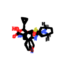 N#Cc1cc(C(=O)O)cc2sc(N3[C@@H]4CC[C@H]3CC(OCc3c(C5CCOCC5)noc3C3CC3)C4)nc12